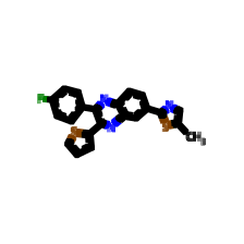 Cc1cnc(-c2ccc3nc(-c4ccc(F)cc4)c(-c4cccs4)nc3c2)s1